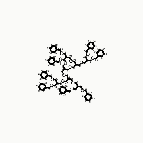 OCC(COCC(COCC(COCc1ccccc1)COCc1ccccc1)COCC(COCc1ccccc1)COCc1ccccc1)COCC(COCC(COCc1ccccc1)COCc1ccccc1)COCC(COCc1ccccc1)COCc1ccccc1